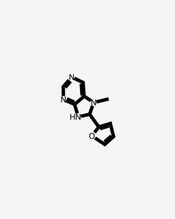 CN1c2cncnc2NC1c1ccco1